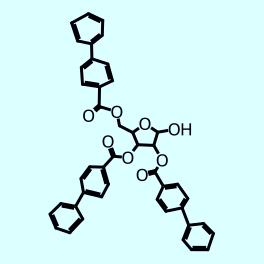 O=C(OCC1OC(O)C(OC(=O)c2ccc(-c3ccccc3)cc2)C1OC(=O)c1ccc(-c2ccccc2)cc1)c1ccc(-c2ccccc2)cc1